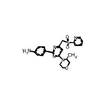 C[C@H]1COCCN1c1cc(CS(=O)(=O)c2ccccn2)nc(-c2ccc(N)cc2)n1